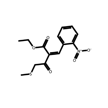 CCOC(=O)C(=Cc1ccccc1[N+](=O)[O-])C(=O)CSC